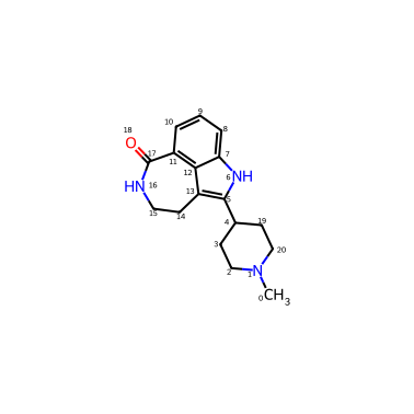 CN1CCC(c2[nH]c3cccc4c3c2CCNC4=O)CC1